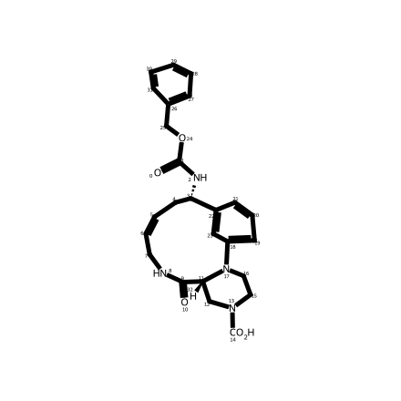 O=C(N[C@H]1CC=CCNC(=O)[C@H]2CN(C(=O)O)CCN2c2cccc1c2)OCc1ccccc1